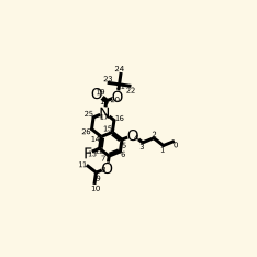 CCCCOc1cc(OC(C)C)c(F)c2c1CN(C(=O)OC(C)(C)C)CC2